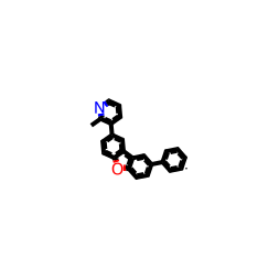 Cc1ncccc1-c1ccc2oc3ccc(-c4c[c]ccc4)cc3c2c1